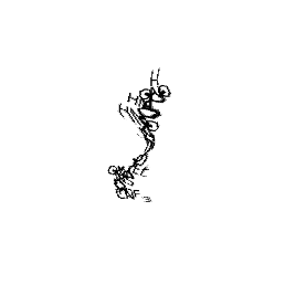 C=C/C(=C\C(CC)=C(/C)OCCN1CCN(CC(=O)Nc2cccc(NC3CCC(=O)NC3=O)c2)[C@@H](C)C1)N1C(=S)N(c2ccc(C#N)c(C(F)(F)F)c2)C(=O)C1(C)C